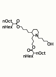 CCCCCCCCC(CCCCCC)C(=O)OCCCCC1CCCN(CCCCO)C1CCCOC(=O)C(CCCCCC)CCCCCCCC